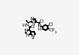 CC(NC(=O)c1ncnc2c1ccn2C)c1ncc(C(=O)Nc2ccc(C(F)(F)F)c(Cl)c2)s1